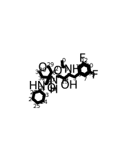 CC(=O)NC(Cc1cc(F)cc(F)c1)C(O)CNC1(C(=O)NC2CCCCC2)CCOCC1